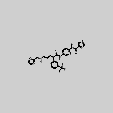 O=C(Nc1ccc(NC(=O)C(CCCNCc2ncco2)c2cccc(C(F)(F)F)c2)cn1)c1cscn1